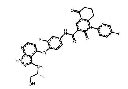 C[C@H](CO)Nc1n[nH]c2nccc(Oc3ccc(NC(=O)c4cc5c(n(-c6ccc(F)cn6)c4=O)CCCC5=O)cc3F)c12